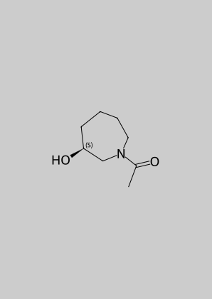 CC(=O)N1CCCC[C@H](O)C1